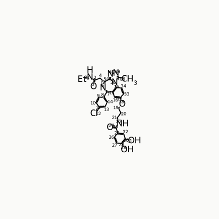 CCNC(=O)C[C@@H]1N=C(c2ccc(Cl)cc2)c2cc(OCCCNC(=O)c3ccc(O)c(O)c3)ccc2-n2c(C)nnc21